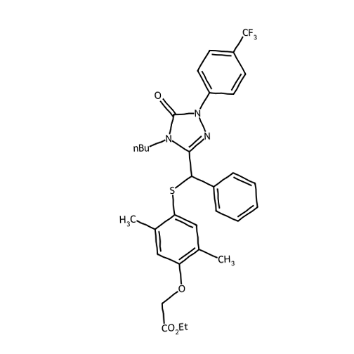 CCCCn1c(C(Sc2cc(C)c(OCC(=O)OCC)cc2C)c2ccccc2)nn(-c2ccc(C(F)(F)F)cc2)c1=O